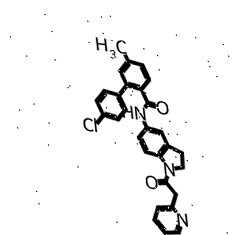 Cc1ccc(C(=O)Nc2ccc3c(c2)CCN3C(=O)Cc2ccccn2)c(-c2ccc(Cl)cc2)c1